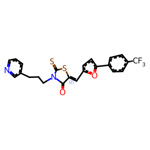 O=C1/C(=C/c2ccc(-c3ccc(C(F)(F)F)cc3)o2)SC(=S)N1CCCc1cccnc1